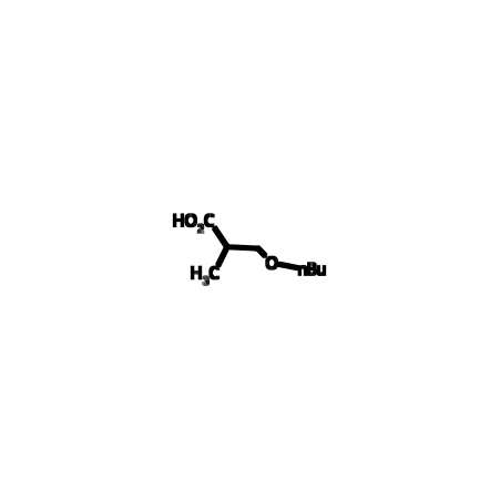 CCCCOCC(C)C(=O)O